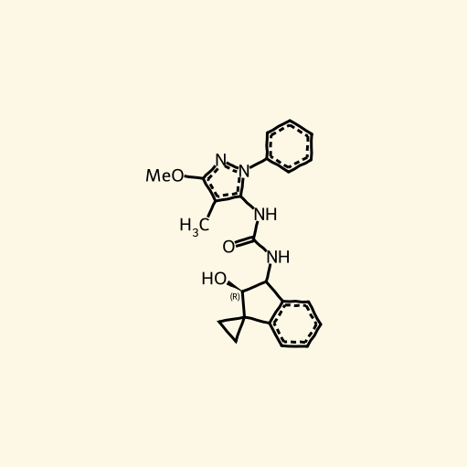 COc1nn(-c2ccccc2)c(NC(=O)NC2c3ccccc3C3(CC3)[C@H]2O)c1C